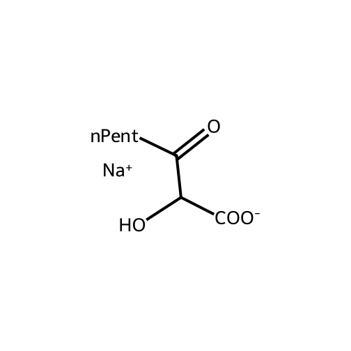 CCCCCC(=O)C(O)C(=O)[O-].[Na+]